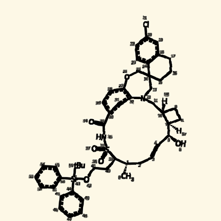 C[C@H]1C/C=C/[C@H](O)[C@@H]2CC[C@H]2CN2C[C@@]3(CCCc4cc(Cl)ccc43)COc3ccc(cc32)C(=O)NS(=O)(=O)[C@@H]1CCO[Si](c1ccccc1)(c1ccccc1)C(C)(C)C